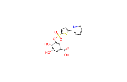 O=C(O)c1cc(O)c(O)c(OS(=O)(=O)c2ccc(-c3ccccn3)s2)c1